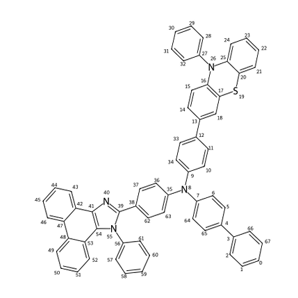 c1ccc(-c2ccc(N(c3ccc(-c4ccc5c(c4)Sc4ccccc4N5c4ccccc4)cc3)c3ccc(-c4nc5c6ccccc6c6ccccc6c5n4-c4ccccc4)cc3)cc2)cc1